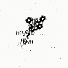 N=C(N)NCCC[C@H](NC(=O)[C@H](Cc1ccccc1)NC(=O)[C@H](Cc1ccccc1)NC(=O)[C@@H](N)Cc1ccccc1)C(=O)O